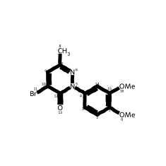 COc1ccc(-n2nc(C)cc(Br)c2=O)cc1OC